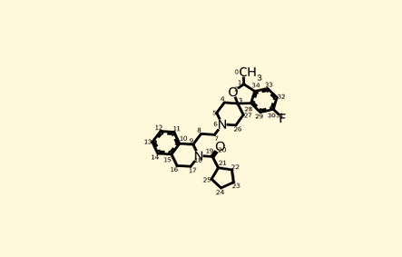 CC1OC2(CCN(CCC3c4ccccc4CCN3C(=O)C3CCCC3)CC2)c2cc(F)ccc21